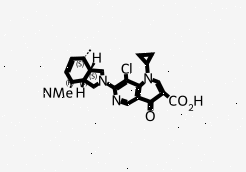 CN[C@@H]1C=C[C@H](C)[C@@H]2CN(c3ncc4c(=O)c(C(=O)O)cn(C5CC5)c4c3Cl)C[C@@H]21